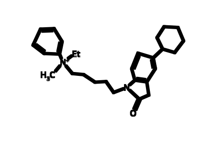 CC[N+](C)(CCCCCN1C(=O)Cc2cc(C3CCCCC3)ccc21)c1ccccc1